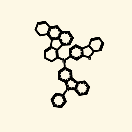 C1=CC2Sc3cc(N(C4=C5C(=CCC4)c4c6c(cc7cccc5c47)C=CCC6)c4ccc5c(c4)c4ccccc4n5-c4ccccc4)ccc3C2C=C1